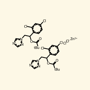 CC(C)(C)C(=O)OC(Cn1cncn1)c1ccc(Cl)cc1Cl.CC(C)(C)C(=O)OC(Cn1cncn1)c1ccc(Cl)cc1Cl.[Cl-].[Cl-].[Zn+2]